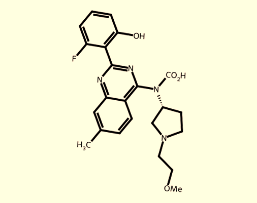 COCCN1CC[C@@H](N(C(=O)O)c2nc(-c3c(O)cccc3F)nc3cc(C)ccc23)C1